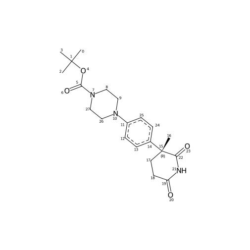 CC(C)(C)OC(=O)N1CCN(c2ccc([C@@]3(C)CCC(=O)NC3=O)cc2)CC1